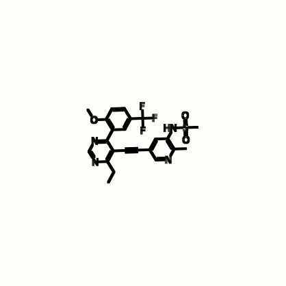 CCc1ncnc(-c2cc(C(F)(F)F)ccc2OC)c1C#Cc1cnc(C)c(NS(C)(=O)=O)c1